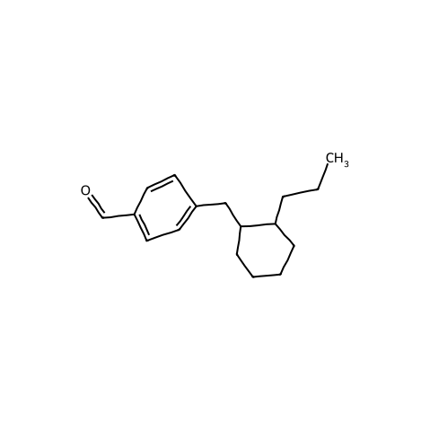 CCCC1CCCCC1Cc1ccc(C=O)cc1